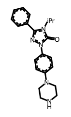 CC(C)n1c(-c2ccccc2)nn(-c2ccc(N3CCNCC3)cc2)c1=O